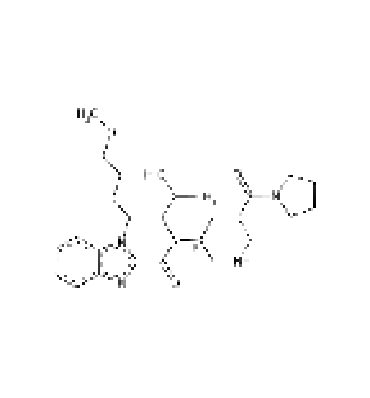 COCCCCn1c(C(=O)N(CC(C)C)[C@@H]2CNCC(C(=O)N3CCCC3)C2)nc2ccccc21